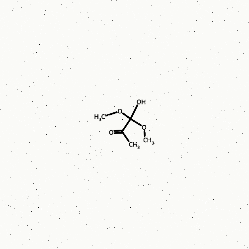 COC(O)(OC)C(C)=O